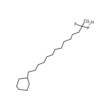 O=C(O)C(F)(F)CCCCCCCCCCCCC1CCCCC1